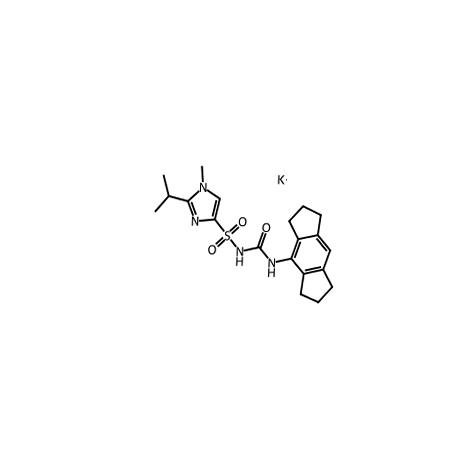 CC(C)c1nc(S(=O)(=O)NC(=O)Nc2c3c(cc4c2CCC4)CCC3)cn1C.[K]